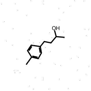 Cc1ccc(CCC(C)O)cc1